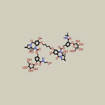 C=C1C[C@H]2C(O)N(C(=O)OCc3ccc(O[C@@H]4O[C@H](CO)[C@H](O)[C@H](O)[C@H]4O)c(C(=O)NCCOC)c3)c3cc(OCCCCCOc4cc5c(cc4OC)C(=O)N4CC(=C)C[C@H]4C(O)N5C(=O)OCc4ccc(O[C@@H]5O[C@H](CO)[C@H](O)[C@H](O)[C@H]5O)c(C(=O)NC(C)(C)C)c4)c(OC)cc3C(=O)N2C1